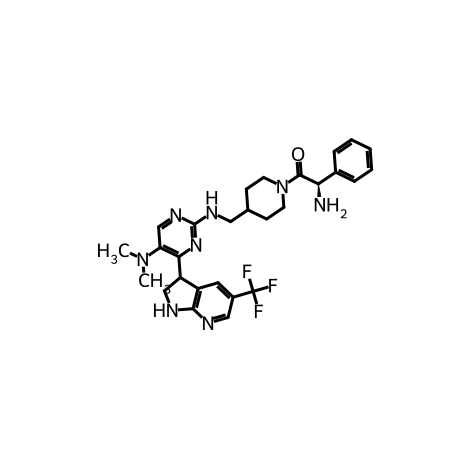 CN(C)c1cnc(NCC2CCN(C(=O)[C@H](N)c3ccccc3)CC2)nc1C1CNc2ncc(C(F)(F)F)cc21